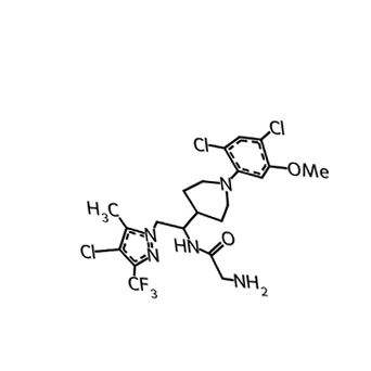 COc1cc(N2CCC(C(Cn3nc(C(F)(F)F)c(Cl)c3C)NC(=O)CN)CC2)c(Cl)cc1Cl